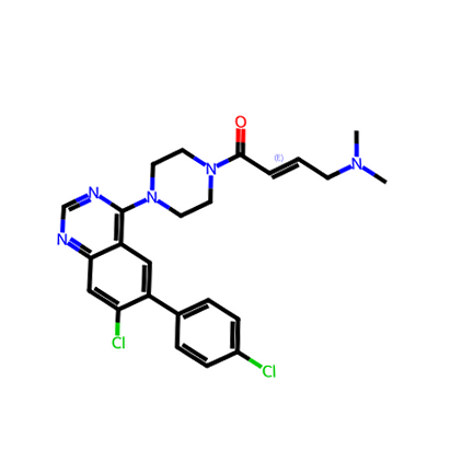 CN(C)C/C=C/C(=O)N1CCN(c2ncnc3cc(Cl)c(-c4ccc(Cl)cc4)cc23)CC1